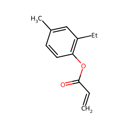 C=CC(=O)Oc1ccc(C)cc1CC